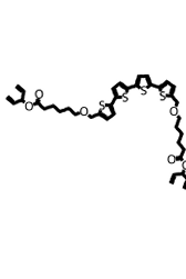 C=CC(C=C)OC(=O)CCCCCOCc1ccc(-c2ccc(-c3ccc(-c4ccc(COCCCCCC(=O)OC(C=C)C=C)s4)s3)s2)s1